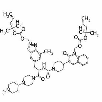 C=CCC(C)(C)OC(=O)OCn1cc2cc(CC(NC(=O)N3CCC(c4cc5ccccc5n(COC(=O)OC(C)(C)CC=C)c4=O)CC3)C(=O)N3CCN(C4CCN(C)CC4)CC3)cc(C)c2n1